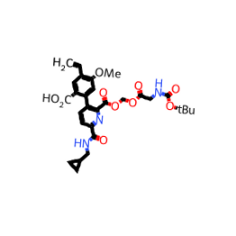 C=Cc1cc(C(=O)O)c(-c2ccc(C(=O)NCC3CC3)nc2C(=O)OCOC(=O)CNC(=O)OC(C)(C)C)cc1OC